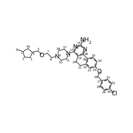 CC1CCC(COCCN2CCN(c3nc(N)nc4c3CCc3cc(OCc5ccc(Cl)cc5)ccc3-4)CC2)C1